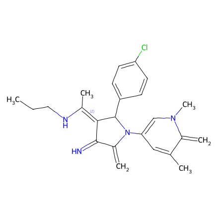 C=C1C(C)=CC(N2C(=C)C(=N)/C(=C(/C)NCCC)C2c2ccc(Cl)cc2)=CN1C